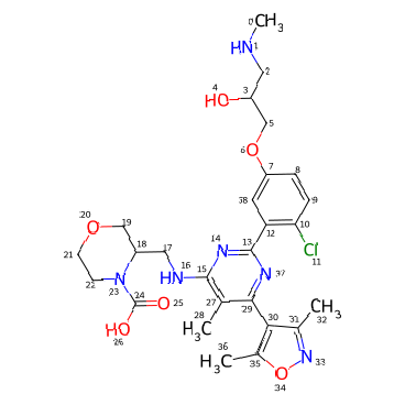 CNCC(O)COc1ccc(Cl)c(-c2nc(NCC3COCCN3C(=O)O)c(C)c(-c3c(C)noc3C)n2)c1